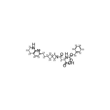 O=C(NC(CC(=O)N1CC2(CC(CCc3ccc4c(n3)NCCC4)C2)C1)C(=O)O)OCc1ccccc1